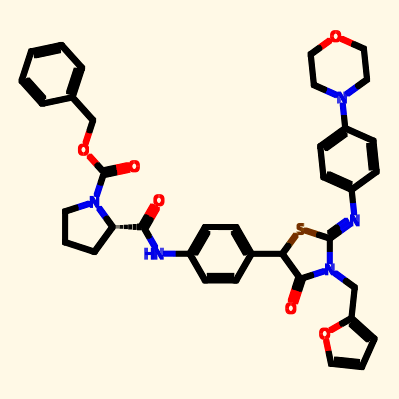 O=C(Nc1ccc(C2S/C(=N\c3ccc(N4CCOCC4)cc3)N(Cc3ccco3)C2=O)cc1)[C@@H]1CCCN1C(=O)OCc1ccccc1